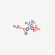 COCCCOc1cc2c(cc1-c1cccs1)-c1cc(=O)c(C(=O)O)cn1C(C(C)C)C2